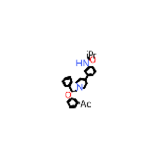 CC(=O)c1cccc(O[C@H](CN2CCC(c3cccc(NC(=O)C(C)C)c3)CC2)c2ccccc2)c1